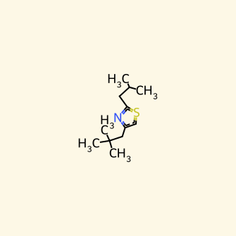 CC(C)Cc1nc(CC(C)(C)C)cs1